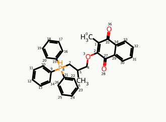 CC1=C(OCC(C)C[PH](c2ccccc2)(c2ccccc2)c2ccccc2)C(=O)c2ccccc2C1=O